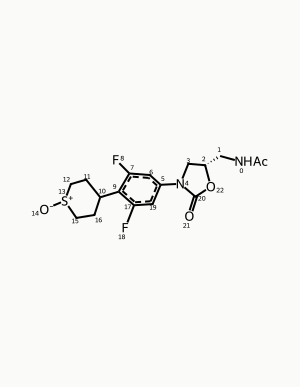 CC(=O)NC[C@H]1CN(c2cc(F)c(C3CC[S+]([O-])CC3)c(F)c2)C(=O)O1